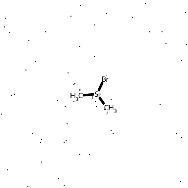 C[Si](C)Br